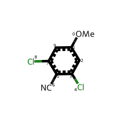 COc1cc(Cl)c(C#N)c(Cl)c1